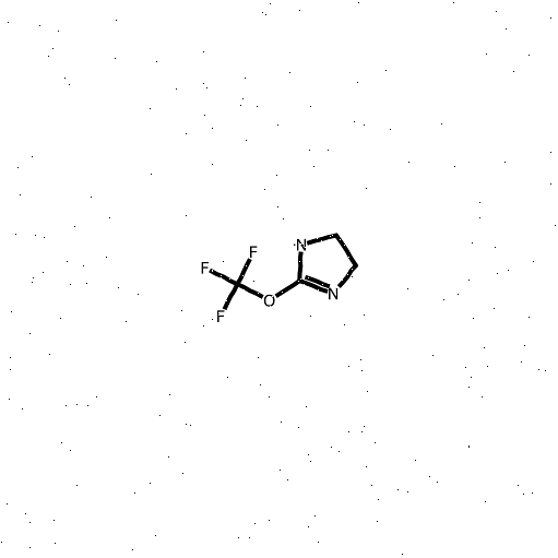 FC(F)(F)OC1=NCC[N]1